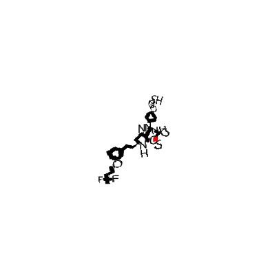 CSCC(=O)Nc1c2c(nn1-c1ccc(OOS)cc1)C[C@H](CCc1cccc(OCCCC(C)(F)F)c1)NC2=O